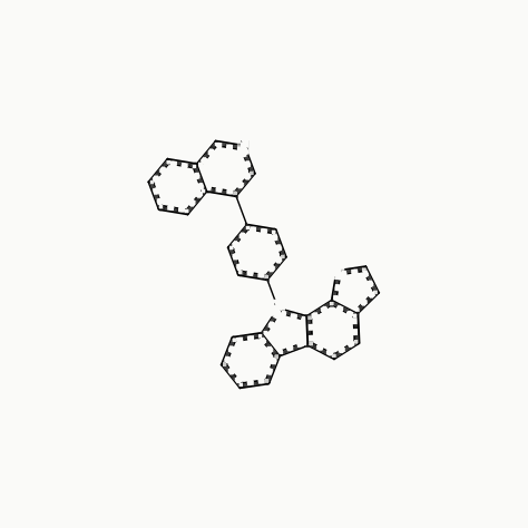 c1ccc2c(-c3ccc(-n4c5ccccc5c5ccc6ccoc6c54)cc3)cncc2c1